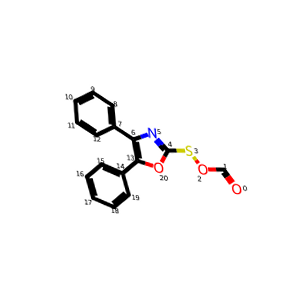 O=COSc1nc(-c2ccccc2)c(-c2ccccc2)o1